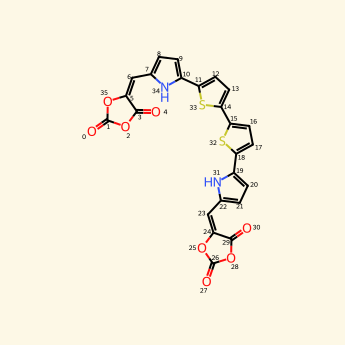 O=C1OC(=O)/C(=C\c2ccc(-c3ccc(-c4ccc(-c5ccc(/C=C6/OC(=O)OC6=O)[nH]5)s4)s3)[nH]2)O1